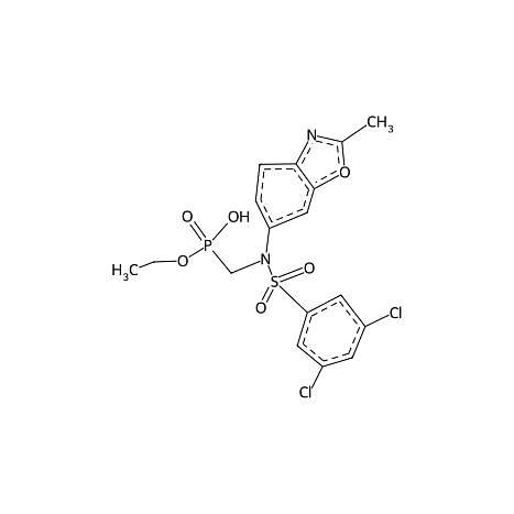 CCOP(=O)(O)CN(c1ccc2nc(C)oc2c1)S(=O)(=O)c1cc(Cl)cc(Cl)c1